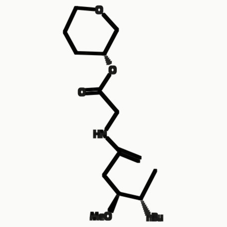 C=C(C[C@H](OC)[C@H](C)CCCC)NCC(=O)O[C@@H]1CCCOC1